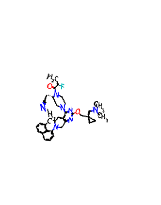 C=C(F)C(=O)N1CCN(c2nc(OCC3(CN(C)C)CC3)nc3c2CCN(c2cccc4cccc(C)c24)C3)C[C@@H]1CC#N